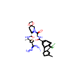 Cc1ccc2c(c1)C(F)(F)c1ccc(C(=O)NCC(=O)N3CC4(C[C@H]3C(=O)N[C@H](C)c3cc(C(=N)N)cs3)OCCO4)cc1-2